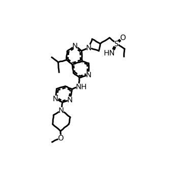 CCS(=N)(=O)CC1CN(c2ncc(C(C)C)c3cc(Nc4ccnc(N5CCC(OC)CC5)n4)ncc23)C1